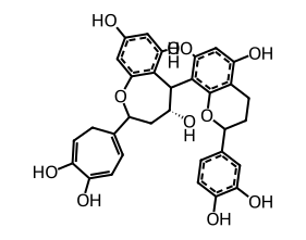 OC1=CC=C(C2C[C@@H](O)C(c3c(O)cc(O)c4c3OC(c3ccc(O)c(O)c3)CC4)c3c(O)cc(O)cc3O2)CC=C1O